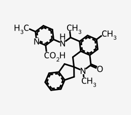 Cc1cc2c(c(C(C)Nc3ccc(C)nc3C(=O)O)c1)CC1(Cc3ccccc3C1)N(C)C2=O